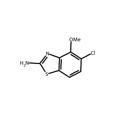 COc1c(Cl)ccc2sc(N)nc12